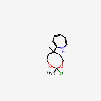 CC1(C2=CC=CC=CN2)CCO[C](Cl)([SnH])OCC1